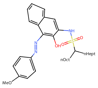 CCCCCCCCC(CCCCCCC)S(=O)(=O)Nc1cc2ccccc2c(N=Nc2ccc(OC)cc2)c1O